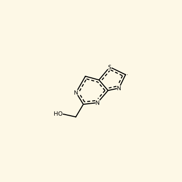 OCc1ncc2s[c]nc2n1